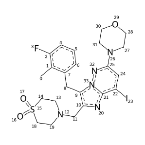 Cc1c(F)cccc1Cc1c(CN2CCS(=O)(=O)CC2)nc2c(I)cc(N3CCOCC3)nn12